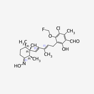 CC(/C=C/[C@@]1(C)[C@H](C)CC/C(=N\O)[C@@H]1C)=C\Cc1c(O)c(C=O)c(C)c(Cl)c1OCF